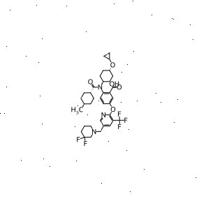 C[C@H]1CC[C@H](C(=O)N(c2ccc(Oc3ncc(CN4CCCC(F)(F)C4)cc3C(F)(F)F)cc2C(=O)O)[C@H]2CC[C@H](OC3CC3)CC2)CC1